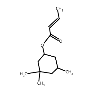 CC=CC(=O)OC1CC(C)CC(C)(C)C1